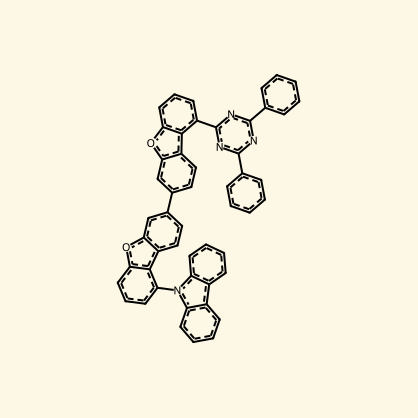 c1ccc(-c2nc(-c3ccccc3)nc(-c3cccc4oc5cc(-c6ccc7c(c6)oc6cccc(-n8c9ccccc9c9ccccc98)c67)ccc5c34)n2)cc1